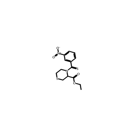 CCOC(=O)C1CSCCN1C(=S)c1cccc([N+](=O)[O-])c1